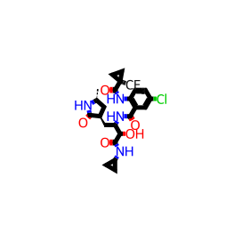 C[C@@H]1C[C@@H](CC(NC(=O)c2cc(Cl)ccc2NC(=O)C2(C(F)(F)F)CC2)C(O)C(=O)NC2CC2)C(=O)N1